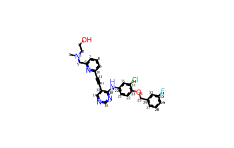 CN(CCO)Cc1cccc(C#Cc2cncnc2Nc2ccc(OCc3cccc(F)c3)c(Cl)c2)n1